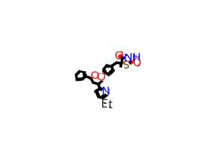 CCc1ccc(C(COc2ccc(CC3(C)SC(=O)NC3=O)cc2)CC(=O)c2ccccc2)nc1